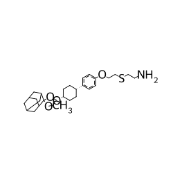 COC1(OO[C@H]2CC[C@@H](c3ccc(OCCSCCN)cc3)CC2)C2CC3CC(C2)CC1C3